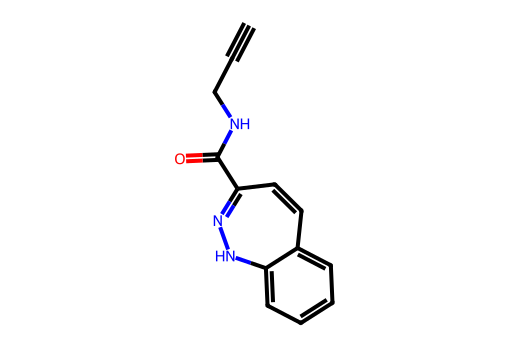 C#CCNC(=O)C1=NNc2ccccc2C=C1